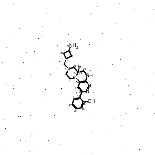 N[C@H]1C[C@@H](CN2CCN3c4cc(-c5ccccc5O)nnc4NC[C@H]3C2)C1